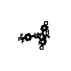 CNC(=O)[C@H](N[C@@H](CCc1ccc(C(F)(F)F)cc1)c1cccc(Cl)n1)c1ccc(Cl)cc1